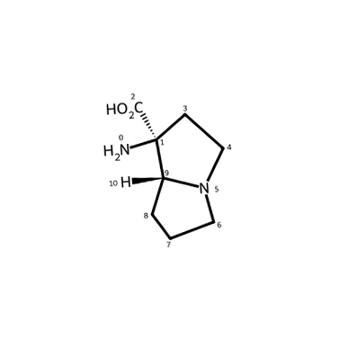 N[C@@]1(C(=O)O)CCN2CCC[C@@H]21